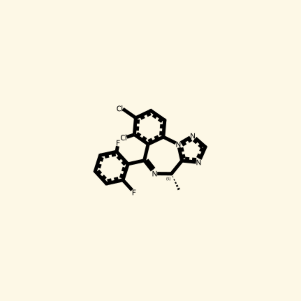 C[C@@H]1N=C(c2c(F)cccc2F)c2c(ccc(Cl)c2Cl)-n2ncnc21